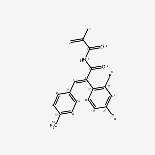 C=C(C)C(=O)NC(=O)/C(=C/c1ccc(C(F)(F)F)cc1)c1ccc(F)cc1F